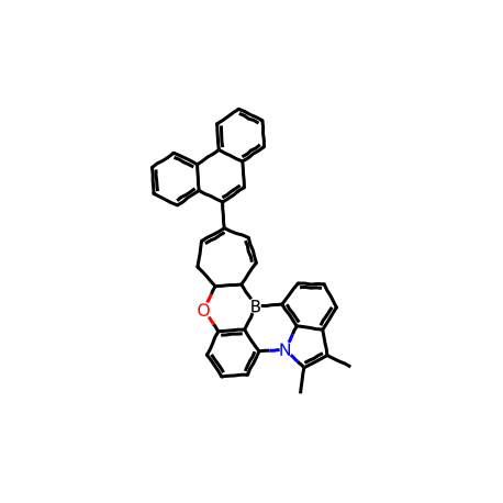 Cc1c(C)n2c3c(cccc13)B1c3c(cccc3-2)OC2CC=C(c3cc4ccccc4c4ccccc34)C=CC12